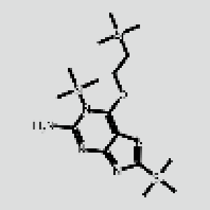 C[Si](C)(C)CCOc1c2nc([Si](C)(C)C)nc-2nc(N)n1[Si](C)(C)C